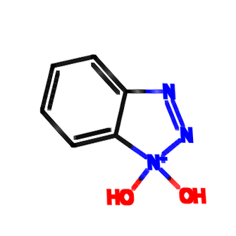 O[N+]1(O)N=Nc2ccccc21